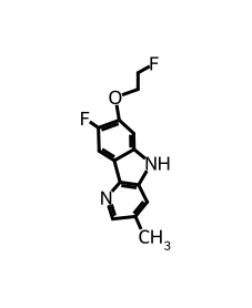 Cc1cnc2c(c1)[nH]c1cc(OCCF)c(F)cc12